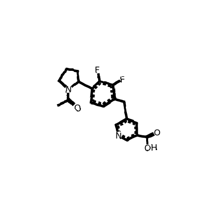 CC(=O)N1CCCC1c1ccc(Cc2cncc(C(=O)O)c2)c(F)c1F